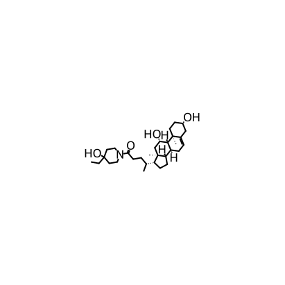 CCC1(O)CCN(C(=O)CCC(C)[C@H]2CC[C@H]3[C@@H]4CC=C5C[C@@H](O)CC[C@]5(C)[C@H]4[C@@H](O)C[C@]23C)CC1